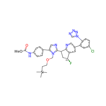 COC(=O)Nc1ccc(-c2cnc(C3C[C@H](F)c4cc(-c5cc(Cl)ccc5-n5cnnn5)cnc43)n2COCC[Si](C)(C)C)cc1